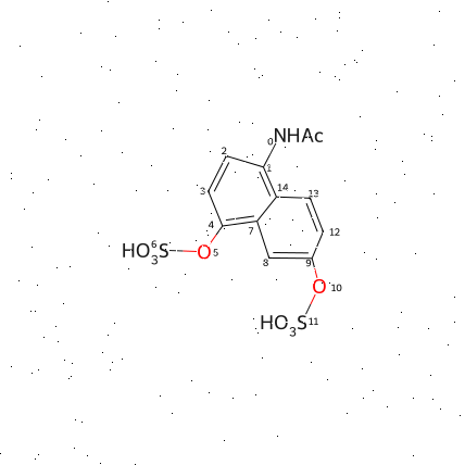 CC(=O)Nc1ccc(OS(=O)(=O)O)c2cc(OS(=O)(=O)O)ccc12